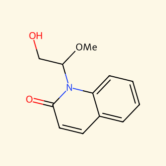 COC(CO)n1c(=O)ccc2ccccc21